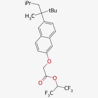 CC(C)CC(C)(c1ccc2cc(OCC(=O)OC(C(F)(F)F)C(F)(F)F)ccc2c1)C(C)(C)C